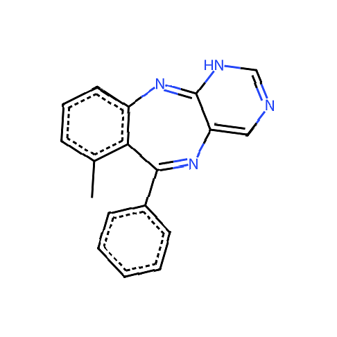 Cc1cccc2c1C(c1ccccc1)=NC1=CN=CNC1=N2